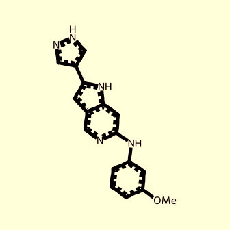 COc1cccc(Nc2cc3[nH]c(-c4cn[nH]c4)cc3cn2)c1